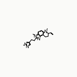 C=CC1CCc2c(ccc3c2nc(CCc2cnn(C)c2)n3C)N1C